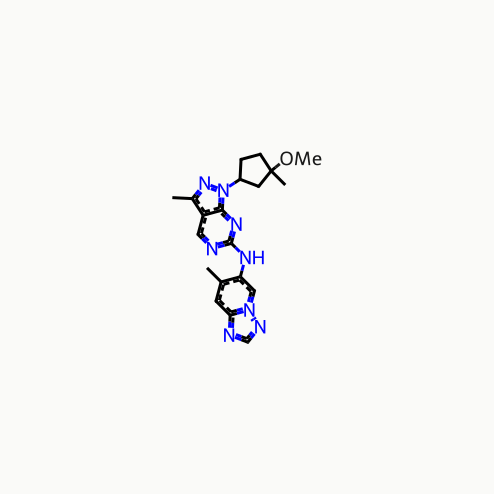 COC1(C)CCC(n2nc(C)c3cnc(Nc4cn5ncnc5cc4C)nc32)C1